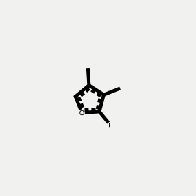 Cc1coc(F)c1C